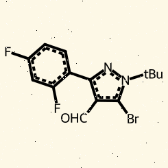 CC(C)(C)n1nc(-c2ccc(F)cc2F)c(C=O)c1Br